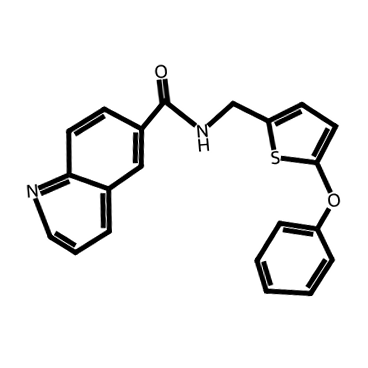 O=C(NCc1ccc(Oc2ccccc2)s1)c1ccc2ncccc2c1